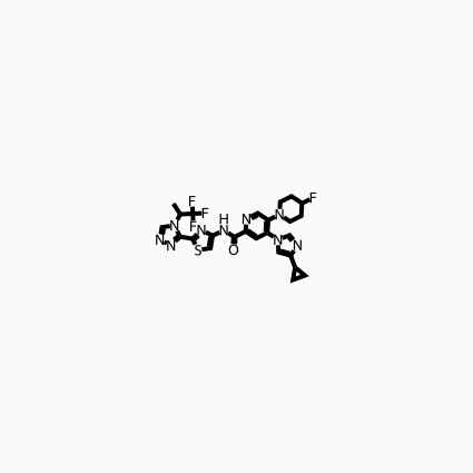 CC(n1cnnc1-c1nc(NC(=O)c2cc(-n3cnc(C4CC4)c3)c(N3CCC(F)CC3)cn2)cs1)C(F)(F)F